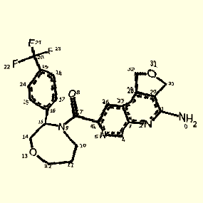 Nc1nc2cnc(C(=O)N3CCCOC[C@H]3c3ccc(C(F)(F)F)cc3)cc2c2c1COC2